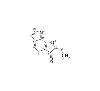 CCC1OC2=C(CC=C3C=CN=C32)C1=O